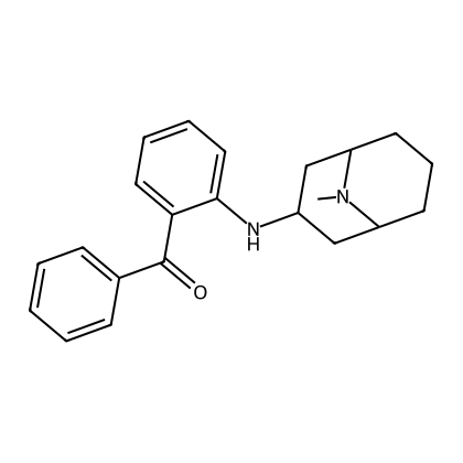 CN1C2CCCC1CC(Nc1ccccc1C(=O)c1ccccc1)C2